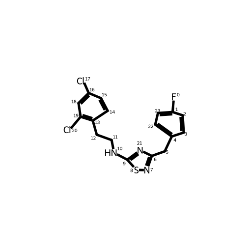 Fc1ccc(Cc2nsc(NCCc3ccc(Cl)cc3Cl)n2)cc1